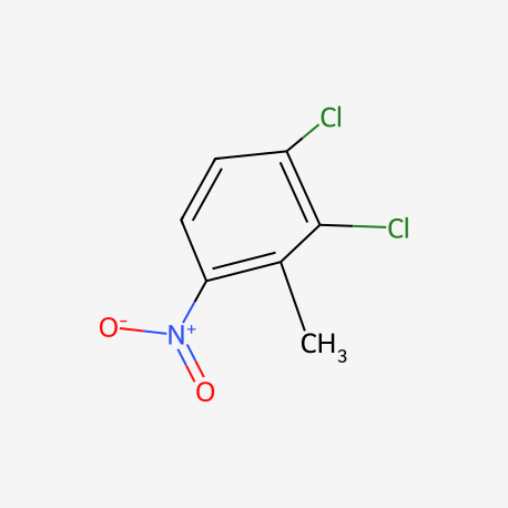 Cc1c([N+](=O)[O-])ccc(Cl)c1Cl